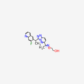 C/C(=N\OCCO)c1ccc2nnc(C(C)c3cc4cccnc4cc3F)n2n1